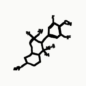 [2H]C1([2H])CC2CC(CCC)CCC2C([2H])([2H])C1c1cc(F)c(C#N)c(F)c1